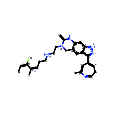 C=C1Nc2cc3[nH]nc(C4=CCC=NC(C)=C4)c3cc2CN1CCNCC/C=C(C)\C(F)=C/C